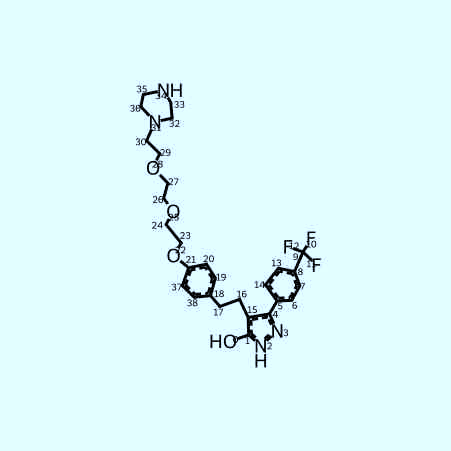 Oc1[nH]nc(-c2ccc(C(F)(F)F)cc2)c1CCc1ccc(OCCOCCOCCN2CCNCC2)cc1